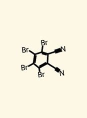 N#Cc1c(Br)c(Br)c(Br)c(Br)c1C#N